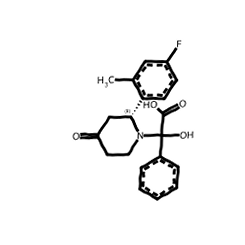 Cc1cc(F)ccc1[C@H]1CC(=O)CCN1C(O)(C(=O)O)c1ccccc1